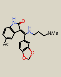 CNCCCN/C(=C1\C(=O)Nc2ccc(C(C)=O)cc21)c1ccc2c(c1)OCO2